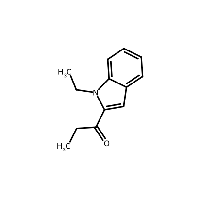 CCC(=O)c1cc2ccccc2n1CC